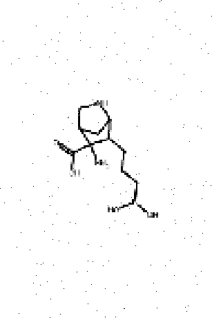 NC1(C(=O)O)C2CNC(C2)C1CCCB(O)O